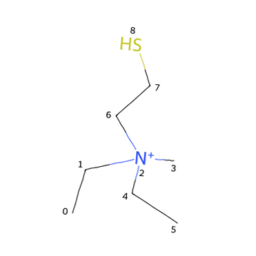 CC[N+](C)(CC)CCS